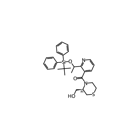 CC(O[Si](c1ccccc1)(c1ccccc1)C(C)(C)C)c1ncccc1C(=O)N1CCSC[C@H]1CO